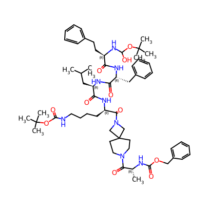 CC(C)C[C@@H](NC(=O)[C@@H](Cc1ccccc1)NC(=O)[C@@H](CCc1ccccc1)NC(O)OC(C)(C)C)C(=O)N[C@H](CCCCNC(=O)OC(C)(C)C)C(=O)N1CC2(CCN(C(=O)[C@@H](C)NC(=O)OCc3ccccc3)CC2)C1